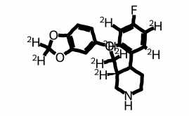 [2H]c1c([2H])c(C2CCNC[C@]2([2H])C([2H])([2H])Oc2ccc3c(c2)OC([2H])([2H])O3)c([2H])c([2H])c1F